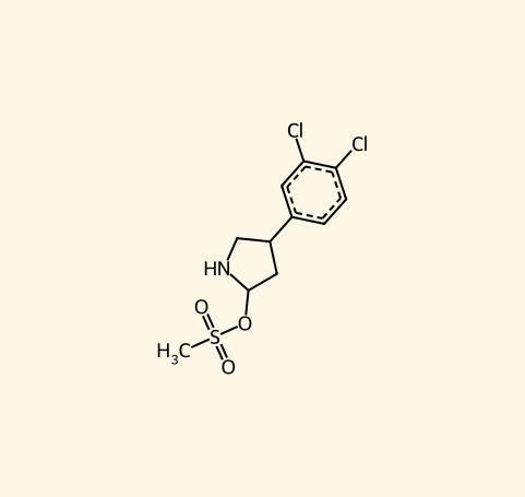 CS(=O)(=O)OC1CC(c2ccc(Cl)c(Cl)c2)CN1